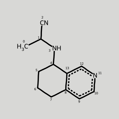 CC(C#N)NC1CCCc2ccncc21